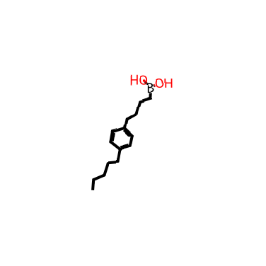 CCCCCc1ccc(CCCCB(O)O)cc1